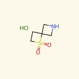 Cl.O=S1(=O)CCC12CNC2